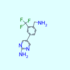 NCc1ccc(-c2cnc(N)nc2)cc1C(F)(F)F